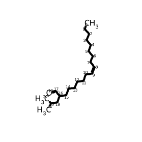 CCCCCCCC/C=C\CCCCCCC([C]=O)CC(C)C